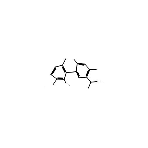 CCOC(=O)C(C)c1cc(-c2c(Cl)[c]cc(C(=O)O)c2C#N)c(F)cc1Cl